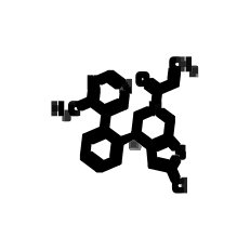 C=CC(=O)N1Cc2sc(Cl)cc2[C@@H](c2ccccc2-c2cncnc2C)C1